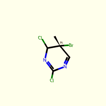 C[C@@]1(Br)C=NC(Cl)=NC1Cl